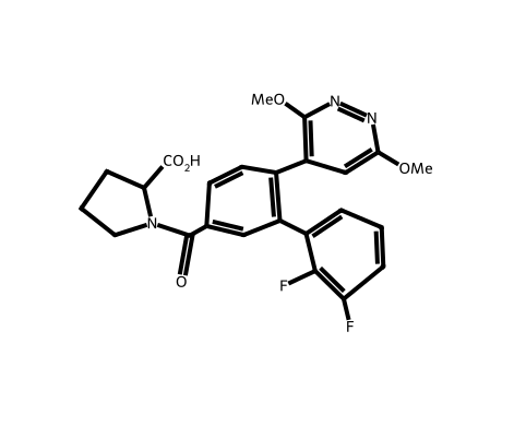 COc1cc(-c2ccc(C(=O)N3CCCC3C(=O)O)cc2-c2cccc(F)c2F)c(OC)nn1